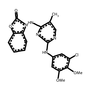 COc1cc(Nc2ncc(C)c(Nn3c(=O)oc4ccccc43)n2)cc(Cl)c1OC